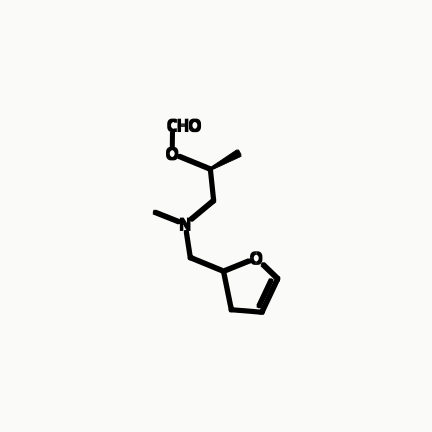 C[C@@H](CN(C)CC1CC=CO1)OC=O